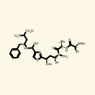 CC[C@H](C)[C@H](NC(=O)[C@@H](NC)C(C)C)C(=O)N(C)[C@H](C[C@@H](OC(C)=O)c1nc(C(O)N[C@@H](Cc2ccccc2)CC(C)C(=O)O)cs1)C(C)C